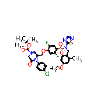 COc1ccc(CN(c2ncns2)S(=O)(=O)c2cc(F)c(OC[C@@H]3CN(C(=O)OC(C)(C)C)CC(=O)N3c3ccc(Cl)cc3)cc2F)c(C)c1